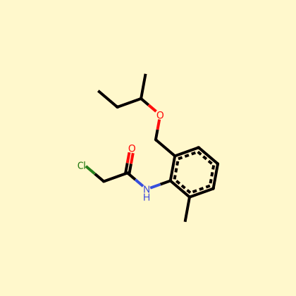 CCC(C)OCc1cccc(C)c1NC(=O)CCl